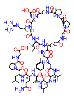 CC[C@H](C)[C@@H]1NC(=O)[C@H](CCCN=C(N)N)NC(=O)[C@H](CC(=O)O)NC(=O)CNC(=O)[C@@H]2CCCN2C(=O)[C@@H]2CCCN2C(=O)CNC(=O)CC[C@@H](C(=O)N[C@@H](Cc2ccccc2)C(=O)NCC(=O)N[C@H](C(=O)N[C@@H](CC(C)C)C(=O)N[C@@H](C)C(=O)N[C@@H](CCC(N)=O)C(=O)N[C@@H](CC(C)C)C(=O)N2CCC[C@H]2C(=O)NCC(=O)O)C(C)C)NC1=O